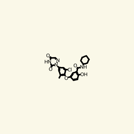 Cc1cc(-n2ncc(=O)[nH]c2=O)cc(Cl)c1Oc1ccc(O)c(C(=O)NC2CCCCC2)c1